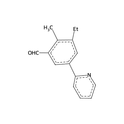 CCc1cc(-c2ccccn2)cc(C=O)c1C